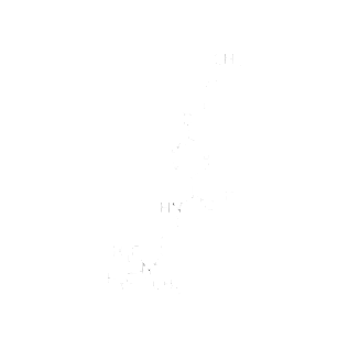 CC=CCOc1ccc(C(=O)NCCC[N+](C)(C)C)cc1.[I-]